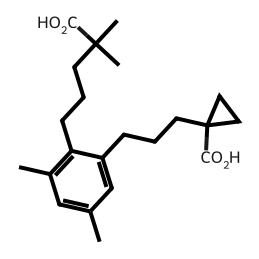 Cc1cc(C)c(CCCC(C)(C)C(=O)O)c(CCCC2(C(=O)O)CC2)c1